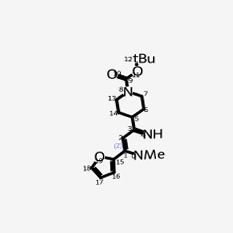 CN/C(=C\C(=N)C1CCN(C(=O)OC(C)(C)C)CC1)c1ccco1